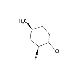 C[C@H]1CCC(Cl)[C@@H](F)C1